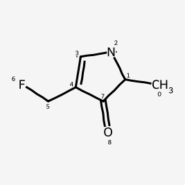 CC1[N][C]=C(CF)C1=O